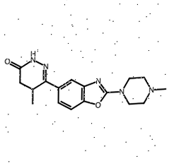 CC1CC(=O)NN=C1c1ccc2oc(N3CCN(C)CC3)nc2c1